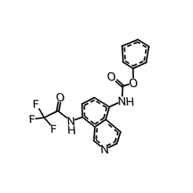 O=C(Nc1ccc(NC(=O)C(F)(F)F)c2cnccc12)Oc1ccccc1